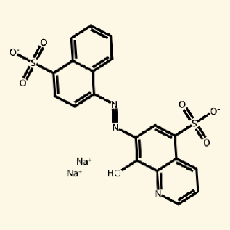 O=S(=O)([O-])c1ccc(N=Nc2cc(S(=O)(=O)[O-])c3cccnc3c2O)c2ccccc12.[Na+].[Na+]